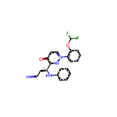 N=C/C=C(\Nc1ccccc1)c1nn(-c2ccccc2OC(F)F)ccc1=O